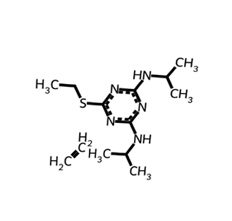 C=C.CCSc1nc(NC(C)C)nc(NC(C)C)n1